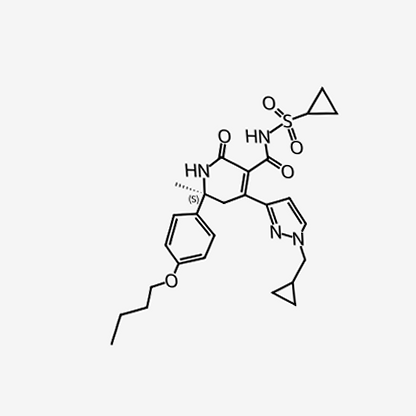 CCCCOc1ccc([C@]2(C)CC(c3ccn(CC4CC4)n3)=C(C(=O)NS(=O)(=O)C3CC3)C(=O)N2)cc1